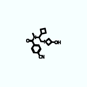 CN(C(=O)c1ccc(C#N)cc1)[C@H](CN1CC(O)C1)C1CCC1